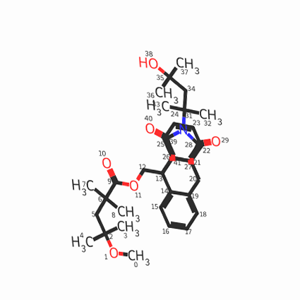 COC(C)(C)CC(C)(C)C(=O)OCC12c3ccccc3C(c3ccccc31)C1C(=O)N(C(C)(C)CC(C)(C)O)C(=O)C12